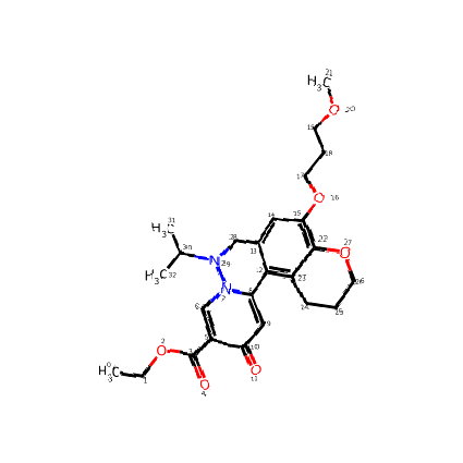 CCOC(=O)c1cn2c(cc1=O)-c1c(cc(OCCCOC)c3c1CCCO3)CN2C(C)C